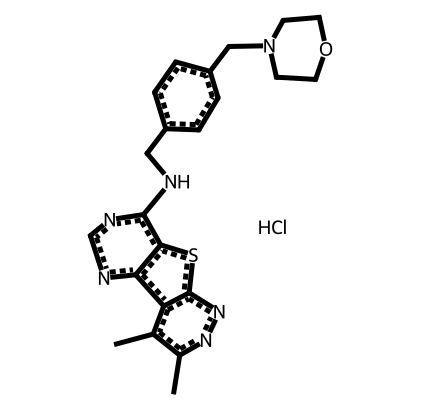 Cc1nnc2sc3c(NCc4ccc(CN5CCOCC5)cc4)ncnc3c2c1C.Cl